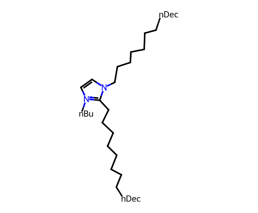 CCCCCCCCCCCCCCCCCCc1n(CCCCCCCCCCCCCCCCC)cc[n+]1CCCC